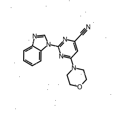 N#Cc1cc(N2CCOCC2)nc(-n2cnc3ccccc32)n1